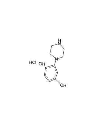 Cl.Cl.Oc1cccc(N2CCNCC2)c1